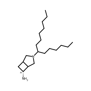 CCCCCCCC(CCCCCC)N1CC2C[C@@H](N)C2C1